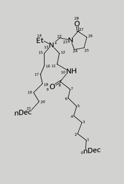 CCCCCCCCCCCCCCCCCC(=O)NCC[N+](CC)(CCCCCCCCCCCCCCCC)CN1CCCC1=O